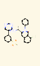 C[C@H](Nc1ncncc1-c1cccc(S(C)(=O)=O)c1)c1cc2cccc(Cl)c2c(=O)n1-c1ccccc1